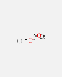 CCOc1ccc(OCCCc2ccccc2)cc1